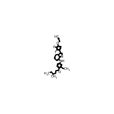 C#CCOc1ccc(C2=CN=C3C(Nc4ccc(C(=O)CC[C@@H](C)CC)c(CC)c4)=CC=CCC23)c(F)c1F